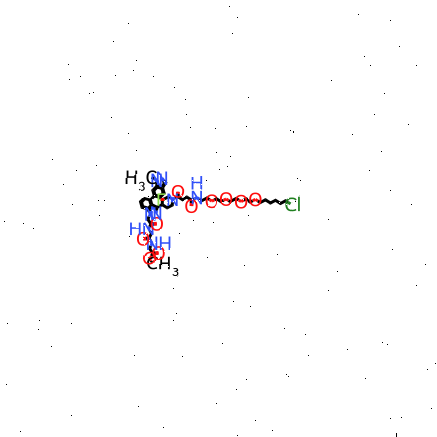 COC(=O)CNC(=O)CNC(=O)Cn1nc(C2CCN(C(=O)CCC(=O)NCCOCCOCCOCCOCCCCCCCl)CC2)c2c(-c3cc4c(cnn4C)cc3F)cccc21